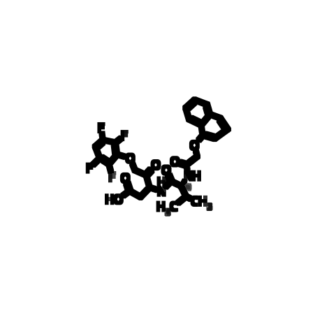 CC(C)[C@H](NC(=O)COc1cccc2ccccc12)C(=O)NC(CC(=O)O)C(=O)COc1c(F)c(F)cc(F)c1F